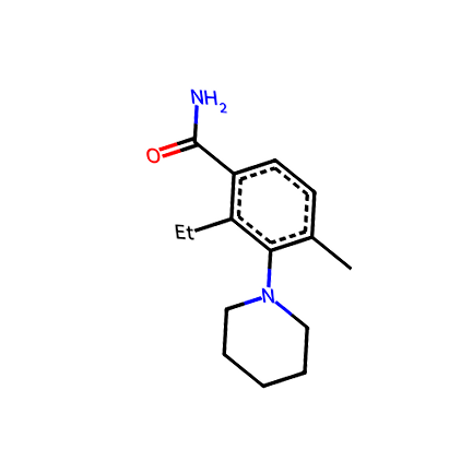 CCc1c(C(N)=O)ccc(C)c1N1CCCCC1